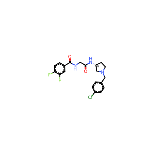 O=C(CNC(=O)c1ccc(F)c(F)c1)N[C@@H]1CCN(Cc2ccc(Cl)cc2)C1